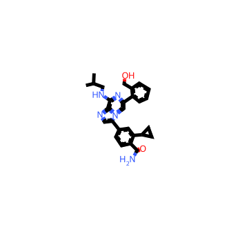 CC(C)CNc1nc(-c2ccccc2CO)cn2c(-c3ccc(C(N)=O)c(C4CC4)c3)cnc12